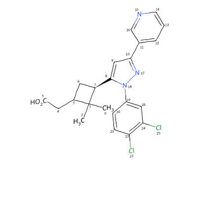 CC1(C)C(CC(=O)O)C[C@H]1c1cc(-c2cccnc2)nn1-c1ccc(Cl)c(Cl)c1